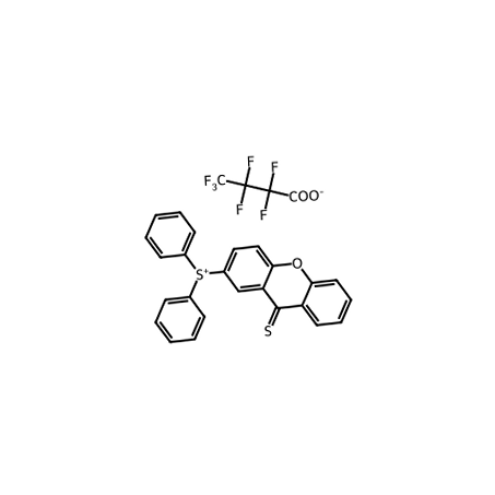 O=C([O-])C(F)(F)C(F)(F)C(F)(F)F.S=c1c2ccccc2oc2ccc([S+](c3ccccc3)c3ccccc3)cc12